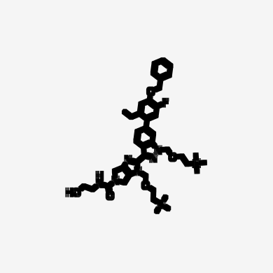 CCc1cc(OCc2ccccc2)c(F)cc1-c1ccc2c(-c3nc4c(n3COCC[Si](C)(C)C)CN(C(=O)NCCO)C4)nn(COCC[Si](C)(C)C)c2c1